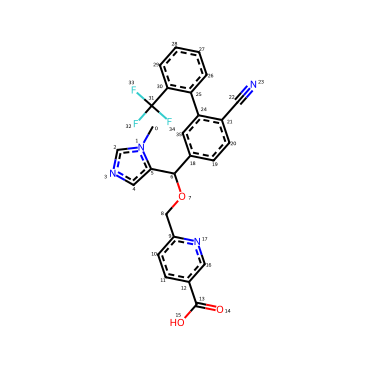 Cn1cncc1C(OCc1ccc(C(=O)O)cn1)c1ccc(C#N)c(-c2ccccc2C(F)(F)F)c1